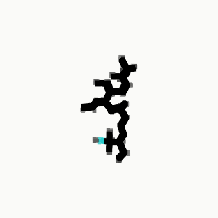 C=C/C=C(\C=C(/C)CCCC(CC)C(C)(C)F)C(/C=C\C(C)=C(C)C)=C\C